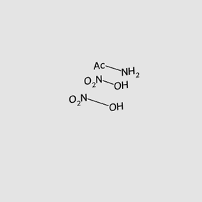 CC(N)=O.O=[N+]([O-])O.O=[N+]([O-])O